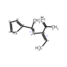 C=C(C)C(=C/C)/N=C(\C)c1cccs1